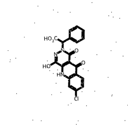 O=C(O)C(c1ccccc1)n1nc(O)c2[nH]c3cc(Cl)ccc3c(=O)c2c1=O